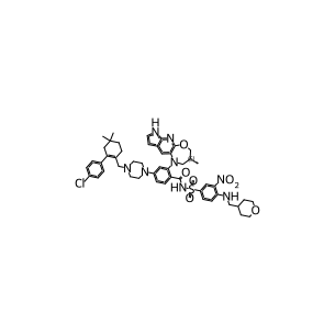 C[C@@H]1COc2nc3[nH]ccc3cc2N(c2cc(N3CCN(CC4=C(c5ccc(Cl)cc5)CC(C)(C)CC4)CC3)ccc2C(=O)NS(=O)(=O)c2ccc(NCC3CCOCC3)c([N+](=O)[O-])c2)C1